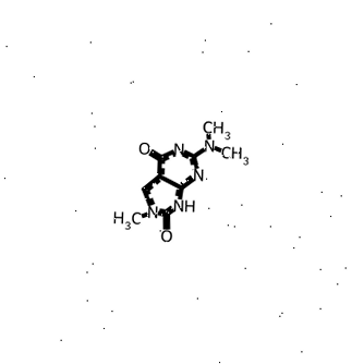 CN(C)c1nc2[nH]c(=O)n(C)cc-2c(=O)n1